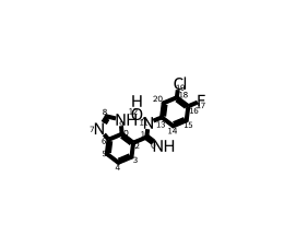 N=C(c1cccc2nc[nH]c12)N(O)c1ccc(F)c(Cl)c1